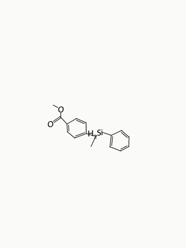 COC(=O)c1ccc(C(C)[SiH2]c2ccccc2)cc1